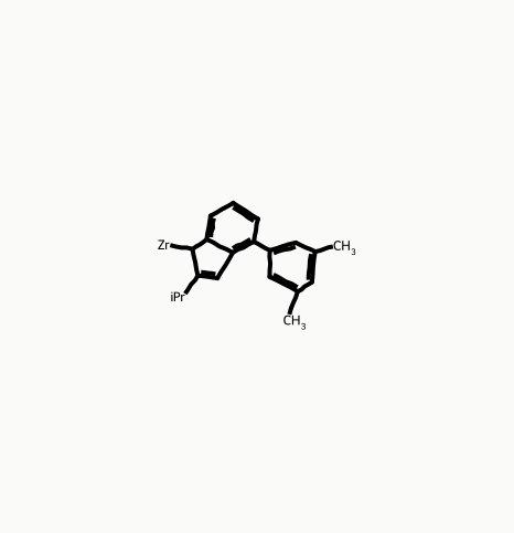 Cc1cc(C)cc(-c2cccc3c2C=C(C(C)C)[CH]3[Zr])c1